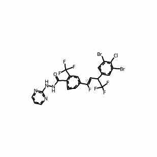 O=C(NNc1ncccn1)c1ccc(/C(F)=C/C(c2cc(Br)c(Cl)c(Br)c2)C(F)(F)F)cc1C(F)(F)F